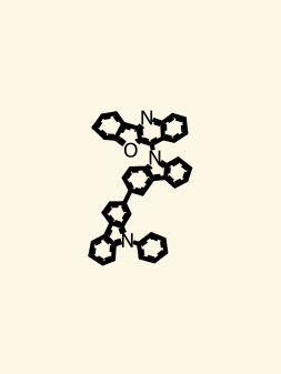 c1ccc(-n2c3ccccc3c3ccc(-c4ccc5c(c4)c4ccccc4n5-c4c5ccccc5nc5c4oc4ccccc45)cc32)cc1